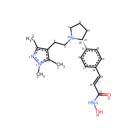 Cc1nn(C)c(C)c1CCN1CCC[C@@H]1c1ccc(/C=C/C(=O)NO)cc1